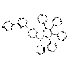 c1ccc(-c2c(-c3ccccc3)c(-c3ccccc3)c3c(c2-c2ccccc2)c2cc(-c4cccc(-c5ccncc5)n4)ccc2n3-c2ccccc2)cc1